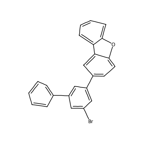 Brc1cc(-c2ccccc2)cc(-c2ccc3oc4ccccc4c3c2)c1